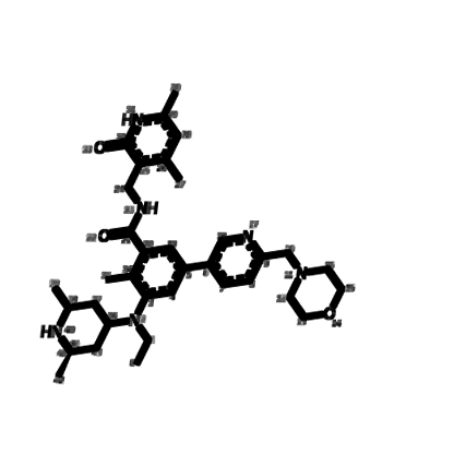 CCN(c1cc(-c2ccc(CN3CCOCC3)nc2)cc(C(=O)NCc2c(C)cc(C)[nH]c2=O)c1C)C1CC(C)N[C@H](C)C1